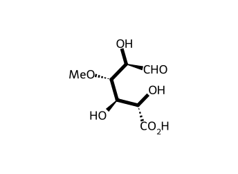 CO[C@@H]([C@H](O)[C@H](O)C(=O)O)[C@@H](O)C=O